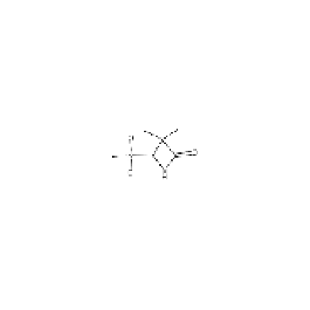 CC1(C)C(=O)NC1S(C)(=O)=O